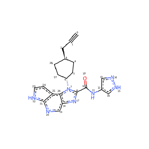 C#CC[C@H]1CC[C@H](n2c(C(=O)Nc3cn[nH]c3)nc3cnc4[nH]ccc4c32)CC1